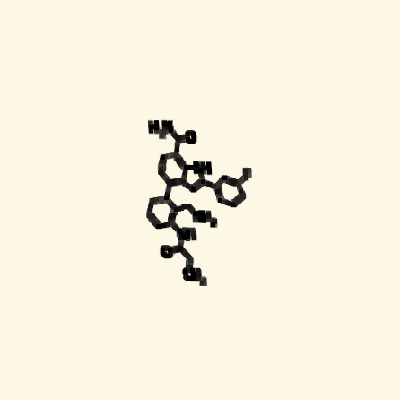 C=CC(=O)Nc1cccc(-c2ccc(C(N)=O)c3[nH]c(-c4cccc(F)c4)cc23)c1CN